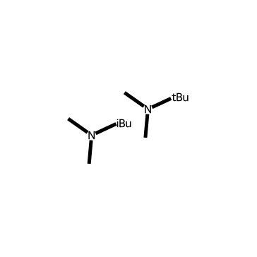 CCC(C)N(C)C.CN(C)C(C)(C)C